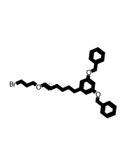 BrCCCO/C=C/CCCCc1cc(OCc2ccccc2)cc(OCc2ccccc2)c1